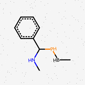 CBPC(NC)c1ccccc1